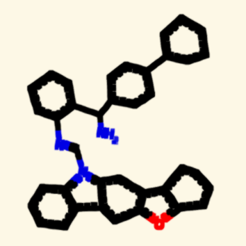 NC(c1ccc(-c2ccccc2)cc1)c1ccccc1/N=C/n1c2ccccc2c2cc3oc4ccccc4c3cc21